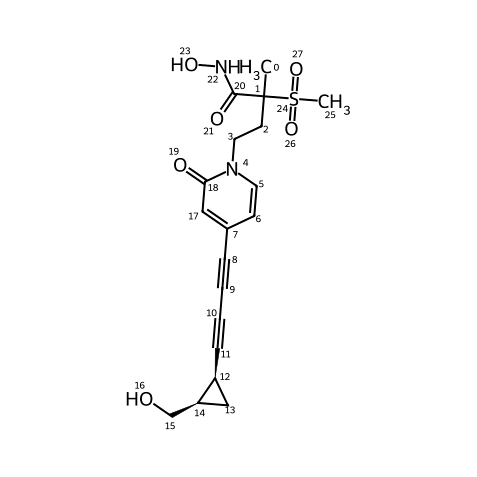 CC(CCn1ccc(C#CC#C[C@H]2C[C@H]2CO)cc1=O)(C(=O)NO)S(C)(=O)=O